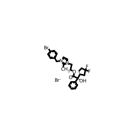 Cc1n(CCOC(=O)[C@](O)(c2ccccc2)[C@@H]2CCC(F)(F)C2)cc[n+]1Cc1ccc(Br)cc1.[Br-]